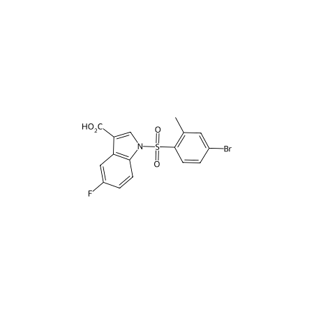 Cc1cc(Br)ccc1S(=O)(=O)n1cc(C(=O)O)c2cc(F)ccc21